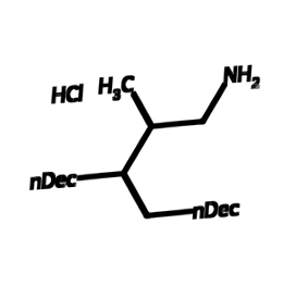 CCCCCCCCCCCC(CCCCCCCCCC)C(C)CN.Cl